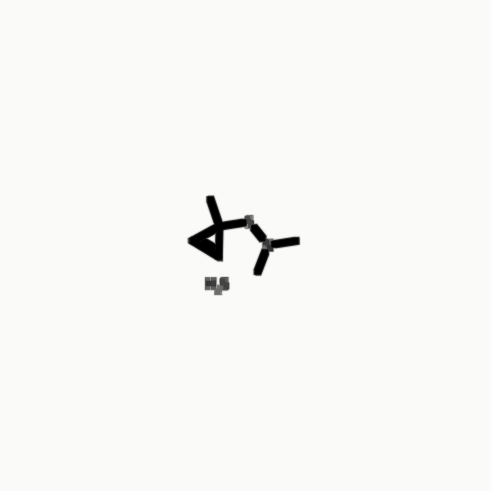 CN(C)SC1(C)C=C1.S